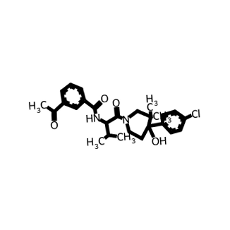 CC(=O)c1cccc(C(=O)NC(C(=O)N2CCC(O)(c3ccc(Cl)cc3)C(C)(C)C2)C(C)C)c1